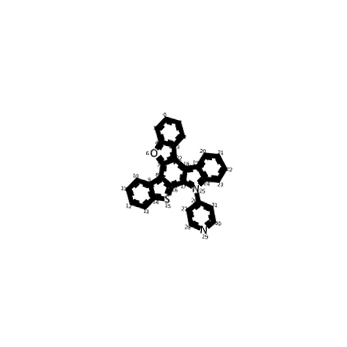 c1ccc2c(c1)oc1c3c4ccccc4sc3c3c(c4ccccc4n3-c3ccncc3)c21